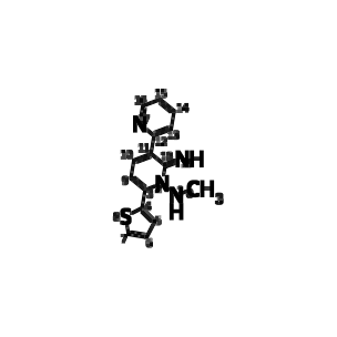 CNn1c(-c2cccs2)ccc(-c2ccccn2)c1=N